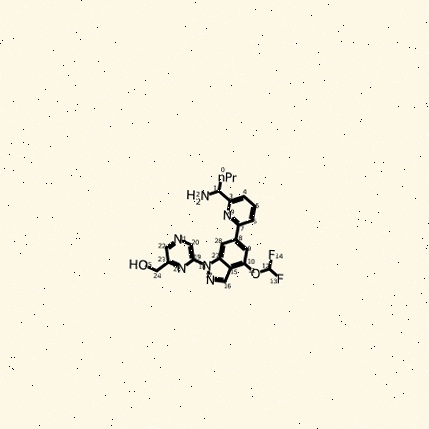 CCCC(N)c1cccc(-c2cc(OC(F)F)c3cnn(-c4cncc(CO)n4)c3c2)n1